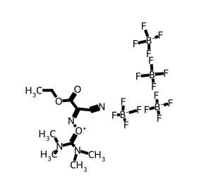 CCOC(=O)C(C#N)=N[O+]=C(N(C)C)N(C)C.F[B-](F)(F)F.F[B-](F)(F)F.F[B-](F)(F)F.F[B-](F)(F)F